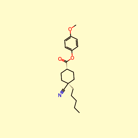 CCCCC[C@]1(C#N)CC[C@H](C(=O)Oc2ccc(OC)cc2)CC1